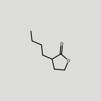 CCCCC1CCOC1=O